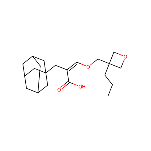 CCCC1(COC=C(CC23CC4CC(CC(C4)C2)C3)C(=O)O)COC1